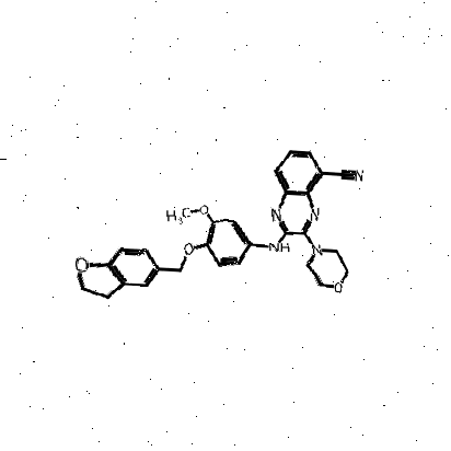 COc1cc(Nc2nc3cccc(C#N)c3nc2N2CCOCC2)ccc1OCc1ccc2c(c1)CCO2